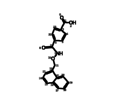 O=C(O)c1ccc(C(=O)NOCc2cccc3ccccc23)cc1